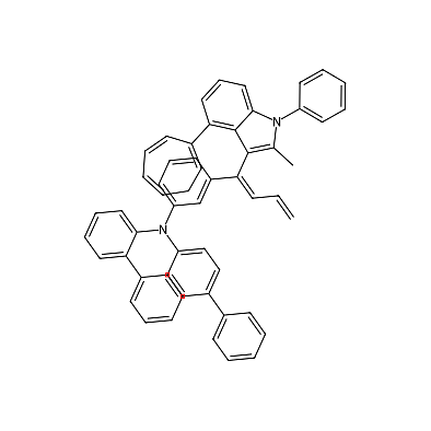 C=C/C=C(/c1cccc(N(c2ccc(-c3ccccc3)cc2)c2ccccc2-c2ccccc2)c1)c1c(C)n(-c2ccccc2)c2cccc(C3=CCC=CC=C3)c12